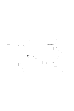 CCNC(=O)N(C)CC.O=[PH](O)O[PH](=O)O